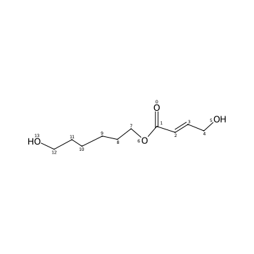 O=C(C=CCO)OCCCCCCO